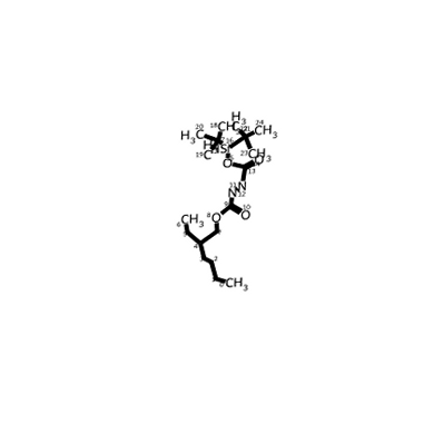 CCCCC(CC)COC(=O)N=NC(=O)O[SiH](C(C)(C)C)C(C)(C)C